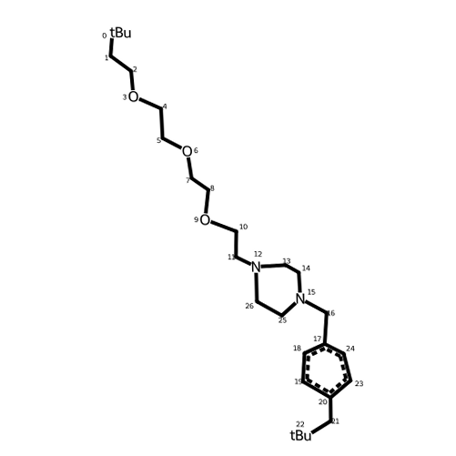 CC(C)(C)CCOCCOCCOCCN1CCN(Cc2ccc(CC(C)(C)C)cc2)CC1